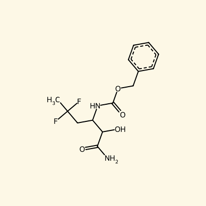 CC(F)(F)CC(NC(=O)OCc1ccccc1)C(O)C(N)=O